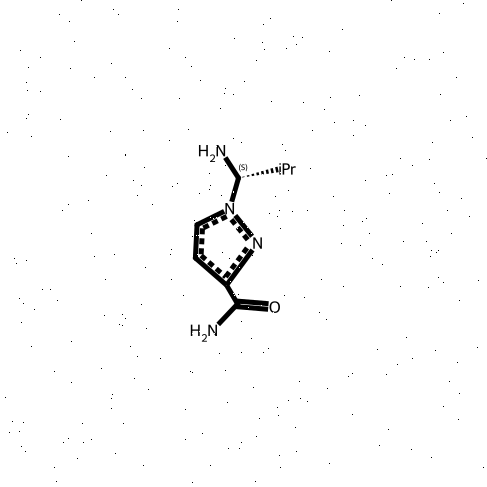 CC(C)[C@@H](N)n1ccc(C(N)=O)n1